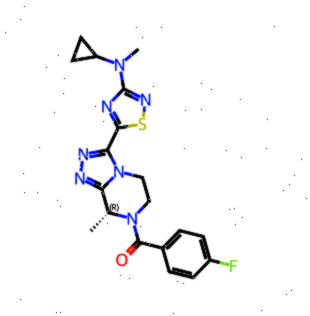 C[C@@H]1c2nnc(-c3nc(N(C)C4CC4)ns3)n2CCN1C(=O)c1ccc(F)cc1